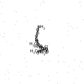 CCC(=O)N1CC[C@H](N2C(=O)N(c3cc(OC)ccc3Cl)Cc3cnc(Nc4ccc(N5CCN(CCOCCOCCOCCN)CC5)c(C)c4)nc32)C1